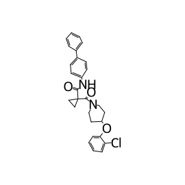 O=C(Nc1ccc(-c2ccccc2)cc1)C1(C(=O)N2CCC(Oc3ccccc3Cl)CC2)CC1